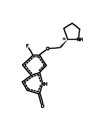 O=c1ccc2cc(F)c(OC[C@@H]3CCCN3)cc2[nH]1